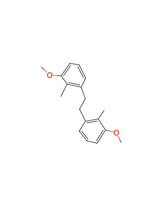 COc1cccc(CCc2cccc(OC)c2C)c1C